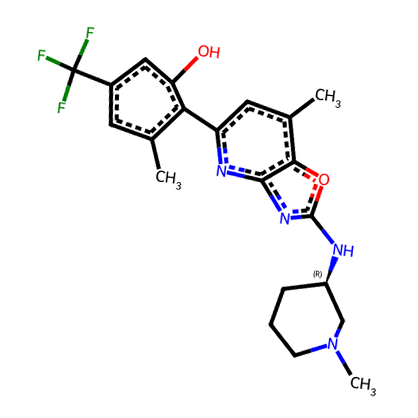 Cc1cc(C(F)(F)F)cc(O)c1-c1cc(C)c2oc(N[C@@H]3CCCN(C)C3)nc2n1